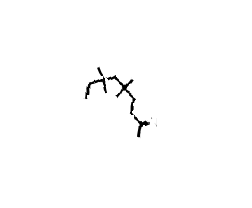 CCC(C)(C)CC(C)(C)CCC(C)=N